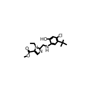 CCn1c(C(=O)OC)cnc1CNc1cc(C(C)(C)C)c(Cl)cc1O